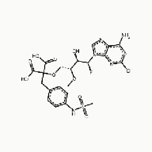 CO[C@H](COC(Cc1ccc(NS(C)(=O)=O)cc1)(C(=O)O)C(=O)O)[C@@H](O)[C@H](F)n1cnc2c(N)nc(Cl)nc21